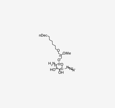 CCCCCCCCCCCCCCCCOC[C@H](CO[C@@H]1O[C@H](CN=[N+]=[N-])[C@@H](O)[C@H](O)[C@H]1N)OC